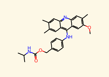 COc1cc2c(Nc3ccc(COC(=O)NC(C)C)cc3)c3cc(C)c(C)cc3nc2cc1C